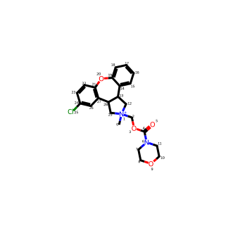 C[N+]1(COC(=O)N2CCOCC2)CC2c3ccccc3Oc3ccc(Cl)cc3C2C1